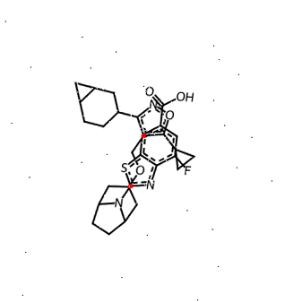 O=C(O)c1cc(F)c2nc(N3C4CCC3CC(OCc3c(C5CCC6CC6C5)noc3C3CC3)C4)sc2c1